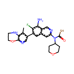 Cc1c(-c2cc3cc(N(C(=O)S)C4CCOCC4)ncc3c(N)c2F)cnc2c1NCCO2